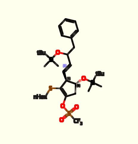 CCCCCCSC1=C(OS(=O)(=O)C(F)(F)F)C[C@@H](O[Si](C)(C)C(C)(C)C)[C@@H]1/C=C/C(Cc1ccccc1)O[Si](C)(C)C(C)(C)C